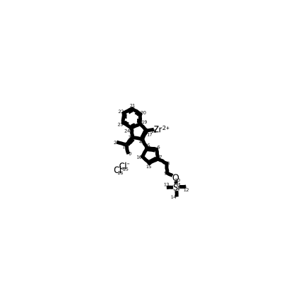 CC(C)=C1C(C2=CC(CCO[Si](C)(C)C)=CC2)=[C]([Zr+2])c2ccccc21.[Cl-].[Cl-]